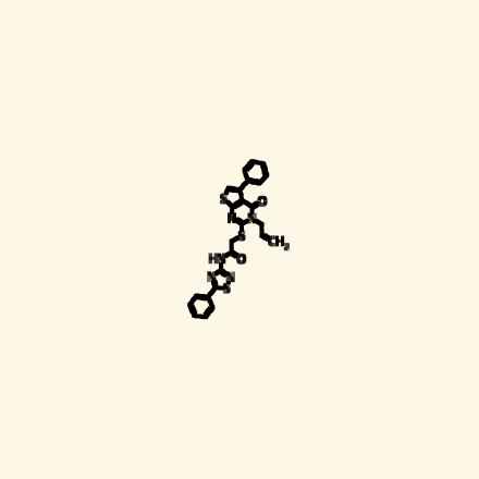 C=CCn1c(SCC(=O)Nc2nsc(-c3ccccc3)n2)nc2scc(-c3ccccc3)c2c1=O